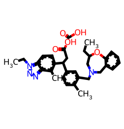 CCC1CN(Cc2cc(C(CC(=O)O)c3ccc4c(nnn4CC)c3C)ccc2C)Cc2ccccc2O1.O=CO